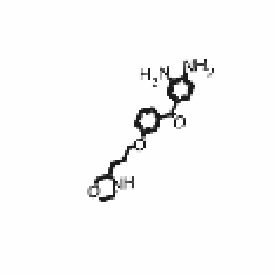 Nc1ccc(C(=O)c2cccc(OCCCC3COCCN3)c2)cc1N